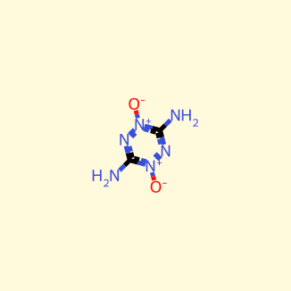 Nc1n[n+]([O-])c(N)n[n+]1[O-]